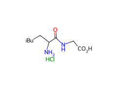 CCC(C)CC(N)C(=O)NCC(=O)O.Cl